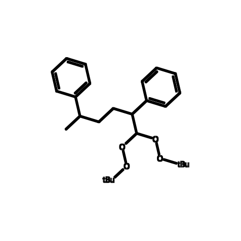 CC(CCC(c1ccccc1)C(OOC(C)(C)C)OOC(C)(C)C)c1ccccc1